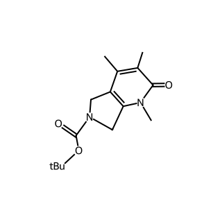 Cc1c2c(n(C)c(=O)c1C)CN(C(=O)OC(C)(C)C)C2